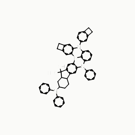 CC1(C)c2cc3c(cc2C2CCC(N(c4ccccc4)c4ccccc4)CC21)N(c1ccccc1)c1cccc2c1B3c1cc3c(cc1N2c1ccc2c(c1)CC2)CC3